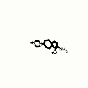 COc1c(N)ccc2c1CCC(N1CCN(C)CC1)CC2